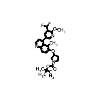 COc1ncc(-c2ccnc3ccc(OC4CCN(C(=O)OC(C)(C)C)C4)c(C)c23)cc1C(F)F